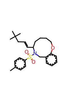 Cc1ccc(S(=O)(=O)N2Cc3ccccc3OCCCCC2/C=C/CC(C)(C)C)cc1